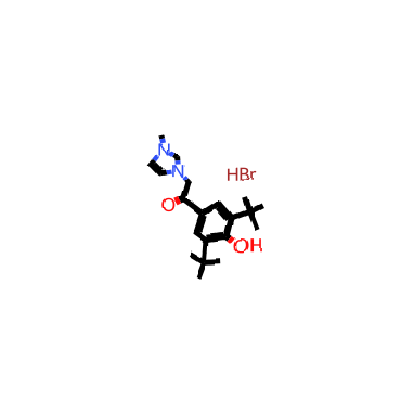 Br.CN1C=CN(CC(=O)c2cc(C(C)(C)C)c(O)c(C(C)(C)C)c2)C1